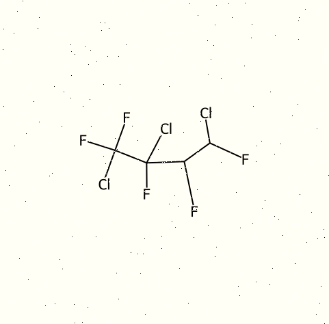 FC(Cl)C(F)C(F)(Cl)C(F)(F)Cl